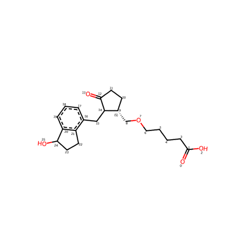 O=C(O)CCCCOC[C@H]1CCC(=O)C1Cc1cccc2c1CCC2O